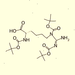 CC(C)(C)OC(=O)N=C(N)N(CCCC[C@H](NC(=O)OC(C)(C)C)C(=O)O)C(=O)OC(C)(C)C